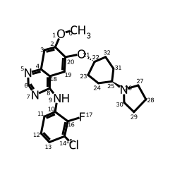 COc1cc2ncnc(Nc3cccc(Cl)c3F)c2cc1O[C@H]1CC[C@H](N2CCCC2)CC1